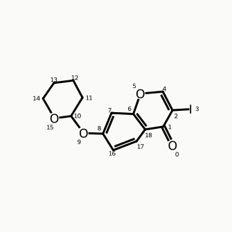 O=c1c(I)coc2cc(OC3CCCCO3)ccc12